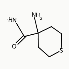 [NH]C(=O)C1(N)CCSCC1